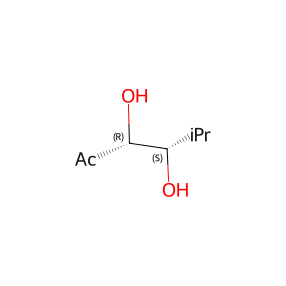 CC(=O)[C@H](O)[C@@H](O)C(C)C